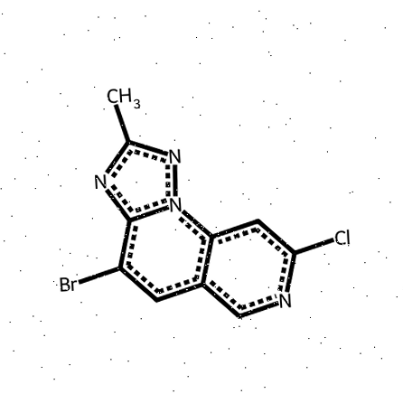 Cc1nc2c(Br)cc3cnc(Cl)cc3n2n1